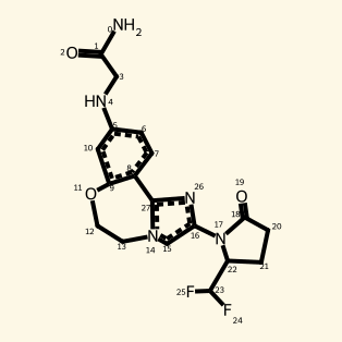 NC(=O)CNc1ccc2c(c1)OCCn1cc(N3C(=O)CCC3C(F)F)nc1-2